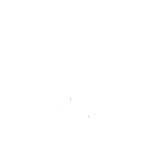 Cc1cc(C(N)=O)ccc1OCCN(Cc1ccccc1)CC(O)c1ccc(OCc2ccccc2)cc1.O